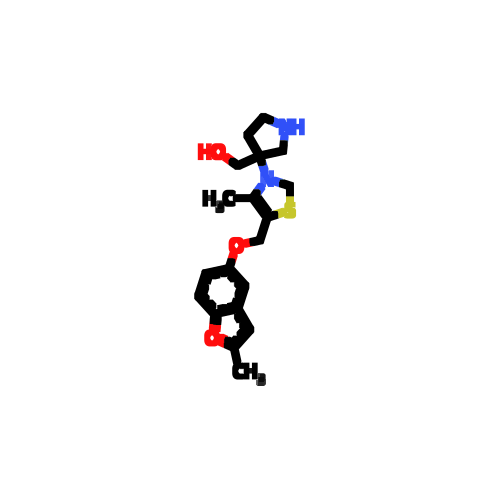 CC1=C(COc2ccc3oc(C)cc3c2)SCN1C1(CO)CCNC1